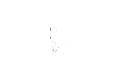 O=C(Nc1ccc2[nH]cc(C3CCN(C(=O)C4CCCC4)CC3)c2c1)c1cccc(O)c1